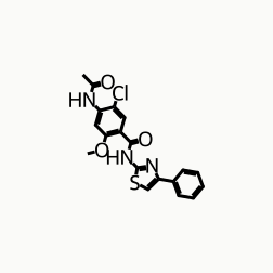 COc1cc(NC(C)=O)c(Cl)cc1C(=O)Nc1nc(-c2ccccc2)cs1